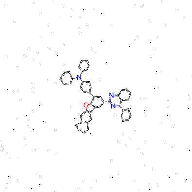 c1ccc(-c2nc(-c3cc(-c4ccc(N(c5ccccc5)c5ccccc5)cc4)c4oc5cc6ccccc6cc5c4c3)nc3ccccc23)cc1